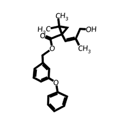 CC(=CC1(C(=O)OCc2cccc(Oc3ccccc3)c2)CC1(C)C)CO